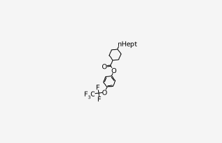 CCCCCCCC1CCC(C(=O)Oc2ccc(OC(F)(F)C(F)(F)F)cc2)CC1